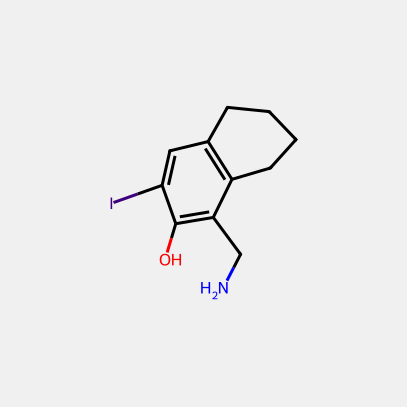 NCc1c(O)c(I)cc2c1CCCC2